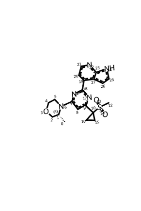 C[C@@H]1COCCN1c1cc(C2(S(C)(=O)=O)CC2)nc(-c2ccnc3[nH]ccc23)n1